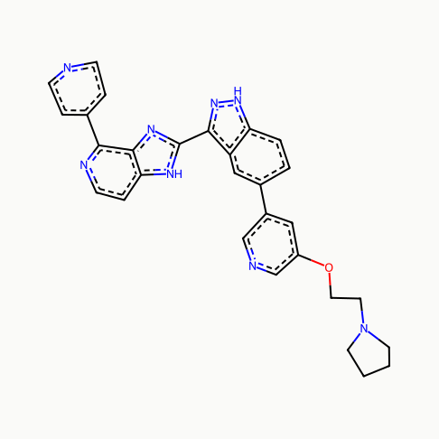 c1cc(-c2nccc3[nH]c(-c4n[nH]c5ccc(-c6cncc(OCCN7CCCC7)c6)cc45)nc23)ccn1